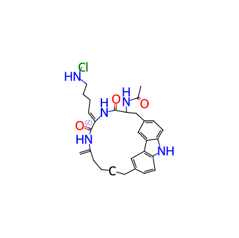 C=C1CCCCc2ccc3[nH]c4ccc(cc4c3c2)CC(NC(C)=O)C(=O)N/C(=C\CCCNCl)C(=O)N1